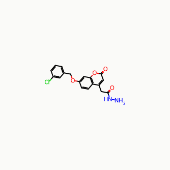 NNC(=O)Cc1cc(=O)oc2cc(OCc3cccc(Cl)c3)ccc12